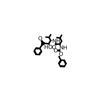 CC(C)CC(NC(=O)OCc1ccccc1)C(=O)N[C@@H](C(C)C)C(O)c1c(-c2ccccc2)c1=O